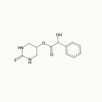 O=C(OC1CNC(=S)NC1)C(O)c1ccccc1